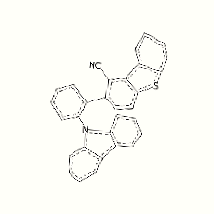 N#Cc1c(-c2ccccc2-n2c3ccccc3c3ccccc32)ccc2sc3ccccc3c12